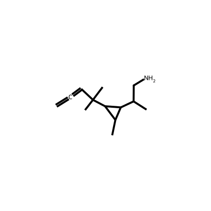 C=C=CC(C)(C)C1C(C)C1C(C)CN